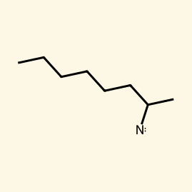 CCCCCCC(C)[N]